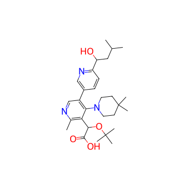 Cc1ncc(-c2ccc(C(O)CC(C)C)nc2)c(N2CCC(C)(C)CC2)c1C(OC(C)(C)C)C(=O)O